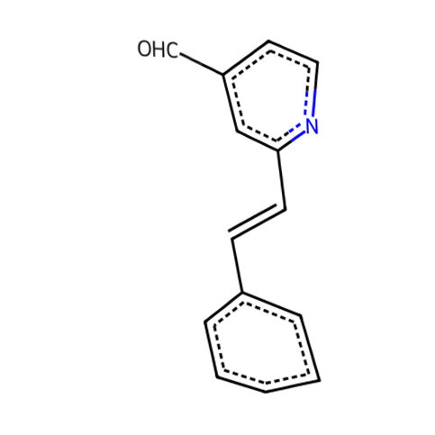 O=Cc1ccnc(C=Cc2ccccc2)c1